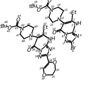 CCc1[nH]c2nc(Br)nn2c(=O)c1N1CCN(C(=O)OC(C)(C)C)CC1.CCc1[nH]c2nc(C3=COCCO3)nn2c(=O)c1N1CCN(C(=O)OC(C)(C)C)CC1